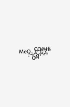 COCc1onc(-c2ccc(F)cc2)c1C(=O)O